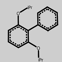 CC(C)Oc1cccc(OC(C)C)c1-c1[c]cccc1